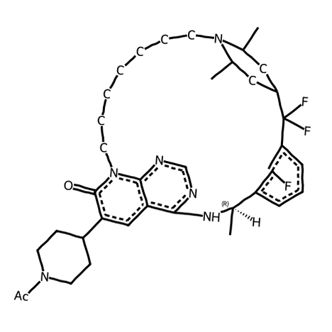 CC(=O)N1CCC(c2cc3c4ncnc3n(c2=O)CCCCCCCN2C(C)CC(CC2C)C(F)(F)c2cccc(c2F)[C@@H](C)N4)CC1